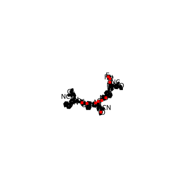 C=CC(=O)N1CCN(c2nc(OC[C@@H]3COC(c4ccc(N5CCc6c(nc(OC[C@H]7COC(c8ccc(N9CCc%10c(nc(OC[C@@H]%11CC(F)(F)CN%11C)nc%10N%10CCN(C(=O)C=C)[C@@H](CC#N)C%10)C9)c9ccccc89)CN7C)nc6N6CCN(C(=O)C=C)C(CC#N)C6)C5)c5ccccc45)CN3C)nc3c2CCN(c2cccc4ccccc24)C3)CC1CC#N